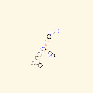 CC(C)c1ccccc1C1CCCN1C1CC2(CCN(c3cc(Oc4cnc5[nH]ccc5c4)c(C(=O)NS(=O)(=O)c4ccc(NCCN(C)C)c([N+](=O)[O-])c4)cn3)CC2)C1